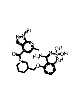 Cc1cc(C(=O)N2CCCC(COc3cccc4c3C(N)=NS(O)(O)N4)C2)c2cnn(C(C)C)c2n1